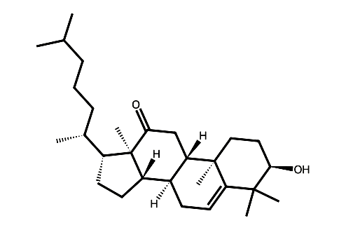 CC(C)CCC[C@@H](C)[C@H]1CC[C@H]2[C@@H]3CC=C4C(C)(C)[C@H](O)CC[C@]4(C)[C@H]3CC(=O)[C@]12C